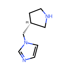 c1cn(C[C@@H]2CCNC2)cn1